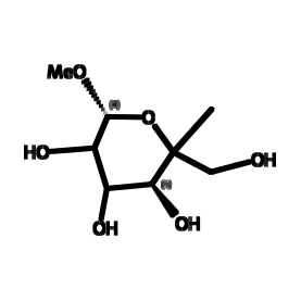 CO[C@@H]1OC(C)(CO)[C@@H](O)C(O)C1O